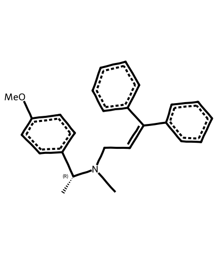 COc1ccc([C@@H](C)N(C)CC=C(c2ccccc2)c2ccccc2)cc1